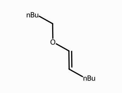 [CH2]CCCC=COCCCCC